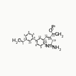 C=Cc1cccc(-c2ccc3c(c2)C=C(C(=C)OF)CC(N)=N3)c1